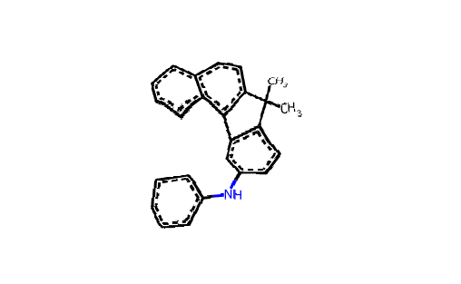 CC1(C)c2ccc(Nc3ccccc3)cc2-c2c1ccc1ccccc21